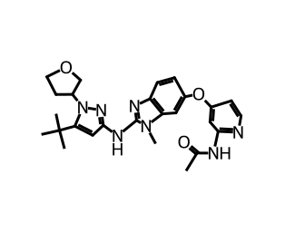 CC(=O)Nc1cc(Oc2ccc3nc(Nc4cc(C(C)(C)C)n(C5CCOC5)n4)n(C)c3c2)ccn1